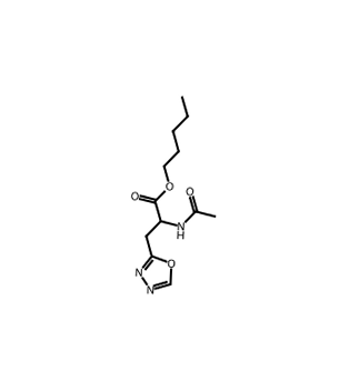 CCCCCOC(=O)C(Cc1nnco1)NC(C)=O